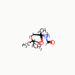 CC1(NC=O)COC(C)(C)O1